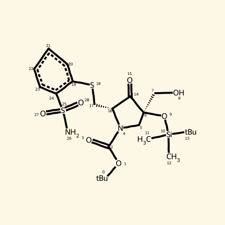 CC(C)(C)OC(=O)N1C[C@](CO)(O[Si](C)(C)C(C)(C)C)C(=O)[C@H]1CSc1ccccc1S(N)(=O)=O